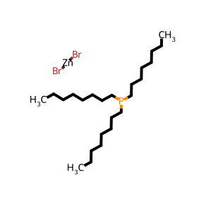 CCCCCCCCP(CCCCCCCC)CCCCCCCC.[Br][Zn][Br]